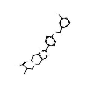 CC(CN1CCc2nc(-c3ccc(OCc4cccc(Cl)c4)cc3)ncc2C1)C(=O)O